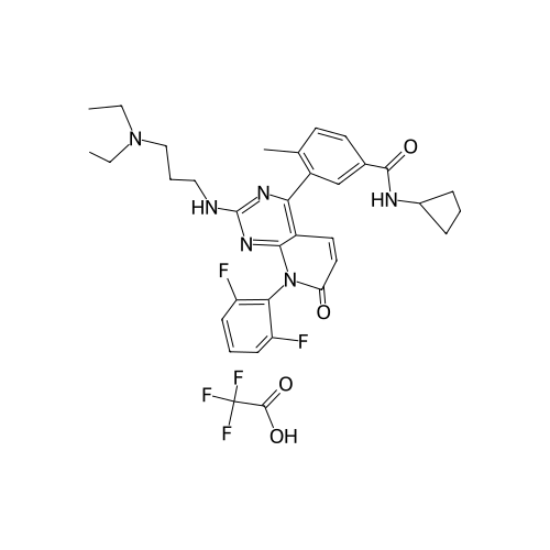 CCN(CC)CCCNc1nc(-c2cc(C(=O)NC3CCC3)ccc2C)c2ccc(=O)n(-c3c(F)cccc3F)c2n1.O=C(O)C(F)(F)F